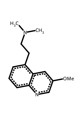 COc1cnc2cccc(CCN(C)C)c2c1